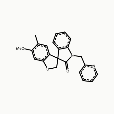 COc1cc2c(cc1C)C1(CO2)C(=O)N(Cc2ccccn2)c2ccccc21